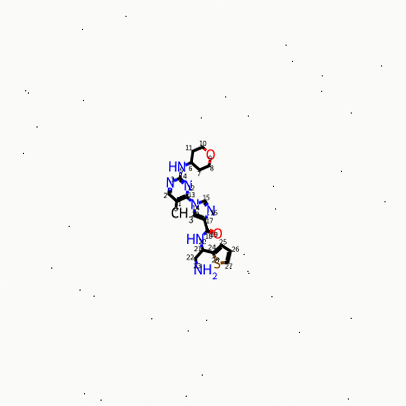 Cc1cnc(NC2CCOCC2)nc1-n1cnc(C(=O)NC(CN)c2cccs2)c1